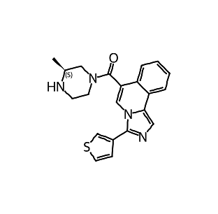 C[C@H]1CN(C(=O)c2cn3c(-c4ccsc4)ncc3c3ccccc23)CCN1